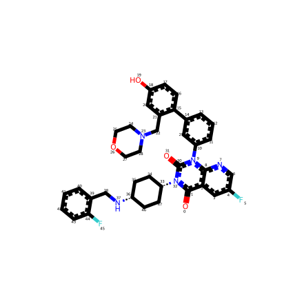 O=c1c2cc(F)cnc2n(-c2cccc(-c3ccc(O)cc3CN3CCOCC3)c2)c(=O)n1[C@H]1CC[C@@H](NCc2ccccc2F)CC1